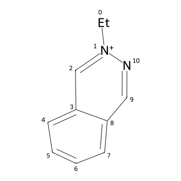 CC[n+]1cc2ccccc2cn1